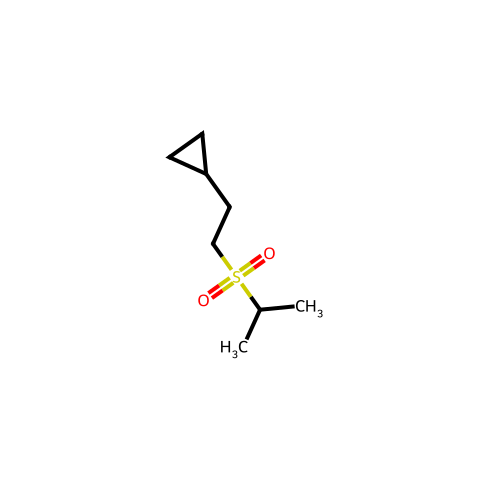 CC(C)S(=O)(=O)CCC1CC1